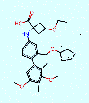 CCO[C@H]1C[C@@](Nc2ccc(-c3cc(OC)c(C)c(OC)c3C)c(COC3CCCC3)c2)(C(=O)O)C1